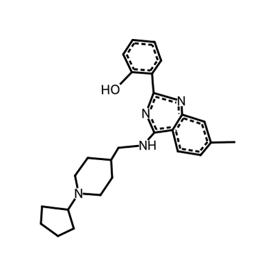 Cc1ccc2c(NCC3CCN(C4CCCC4)CC3)nc(-c3ccccc3O)nc2c1